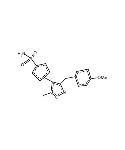 COc1ccc(Cc2noc(C)c2-c2ccc(S(N)(=O)=O)cc2)cc1